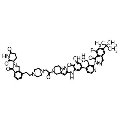 Cn1cc(-c2ccnc(-n3ncc4cc(C(C)(C)C)cc(F)c4c3=O)c2CO)cc(Nc2cc3n(n2)CCN(C(=O)CN2CCN(CCc4cccc5c4CN(C4CCC(=O)NC4=O)C5=O)CC2)C3)c1=O